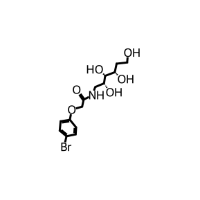 O=C(COc1ccc(Br)cc1)NC[C@@H](O)[C@H](O)[C@@H](O)CCO